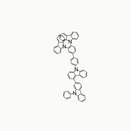 c1ccc(-n2c3ccccc3c3ccc(-c4cccc5c4c4ccccc4n5-c4ccc(-c5ccc(-n6c7ccccc7c7ccccc76)c(-n6c7ccccc7c7ccccc76)c5)cc4)cc32)cc1